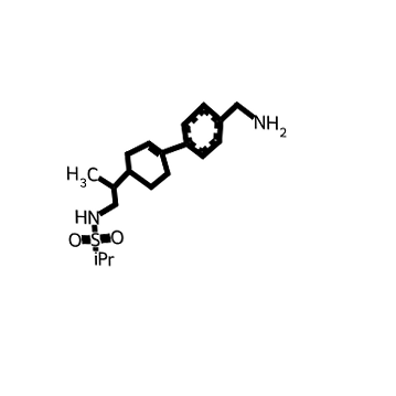 CC(CNS(=O)(=O)C(C)C)C1CC=C(c2ccc(CN)cc2)CC1